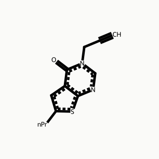 C#CCn1cnc2sc(CCC)cc2c1=O